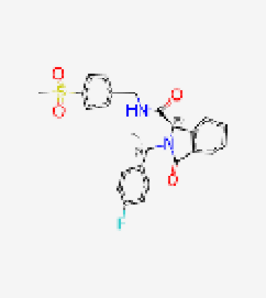 C[C@@H](c1ccc(F)cc1)N1C(=O)c2ccccc2[C@@H]1C(=O)NCc1ccc(S(C)(=O)=O)cc1